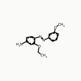 CCOc1cc(N)ccc1N=Nc1cccc(OC)c1